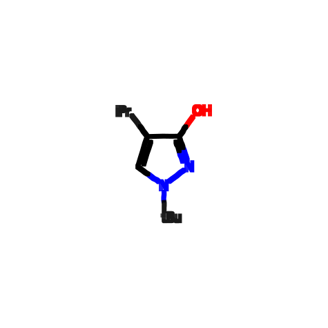 CC(C)c1cn(C(C)(C)C)nc1O